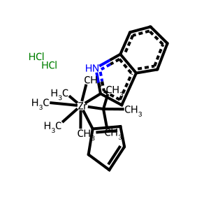 C[C](C)(C)[Zr]([CH3])([CH3])([CH3])([CH3])([CH3])([C]1=CC=CC1)[c]1cc2ccccc2[nH]1.Cl.Cl